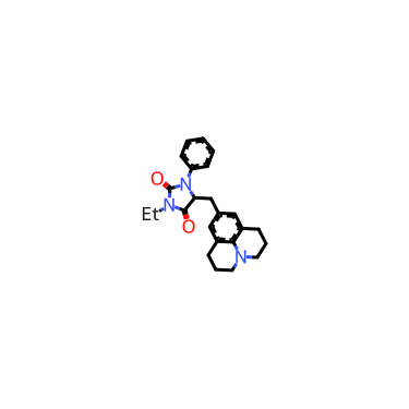 CCN1C(=O)C(Cc2cc3c4c(c2)CCCN4CCC3)N(c2ccccc2)C1=O